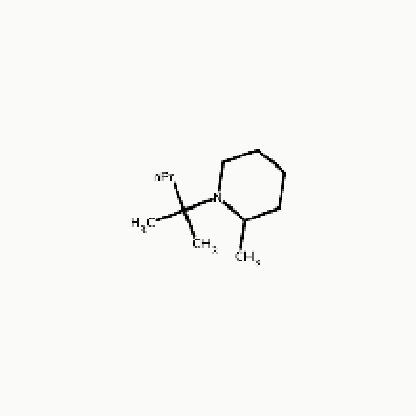 CCCC(C)(C)N1CCCCC1C